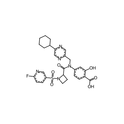 O=C(O)c1ccc(N(Cc2cnc(C3CCCCC3)cn2)C(=O)C2CCN2S(=O)(=O)c2ccc(F)nc2)cc1O